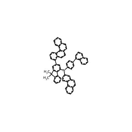 CC1(C)c2ccccc2-c2c(N(c3ccc(-c4cccc5ccccc45)cc3)c3ccc4c(ccc5ccccc54)c3)cc(-c3cccc4c3ccc3ccc5ccccc5c34)cc21